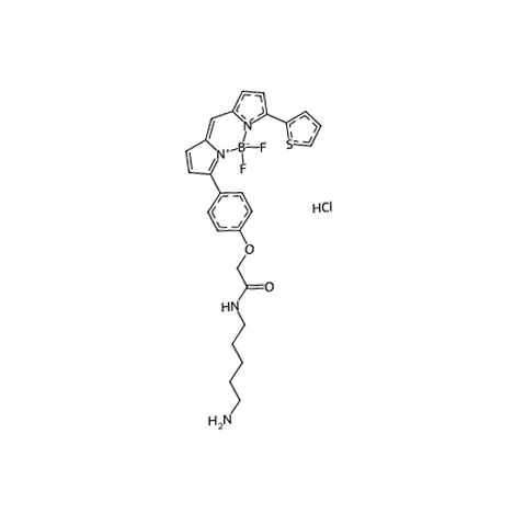 Cl.NCCCCCNC(=O)COc1ccc(C2=[N+]3C(=Cc4ccc(-c5cccs5)n4[B-]3(F)F)C=C2)cc1